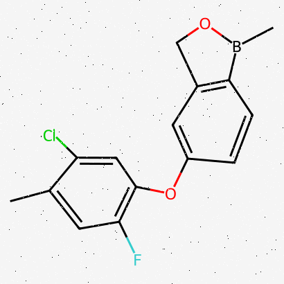 CB1OCc2cc(Oc3cc(Cl)c(C)cc3F)ccc21